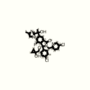 Cc1c[nH]c(C(C)(O)c2cc(F)c3c(c2)C(=O)N(Cc2ccc(Cl)cn2)[C@@]3(OCC2(O)CC2)c2ccc(Cl)cc2)n1